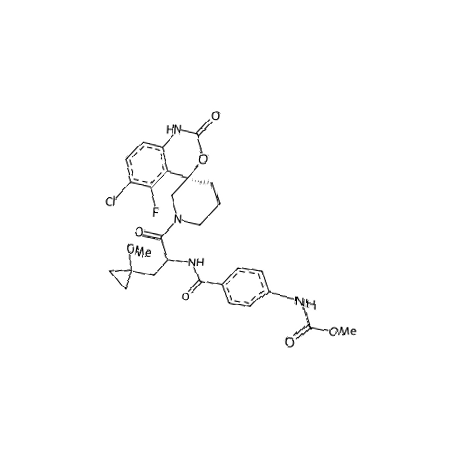 COC(=O)Nc1ccc(C(=O)NC(CC2(OC)CC2)C(=O)N2CCC[C@@]3(C2)OC(=O)Nc2ccc(Cl)c(F)c23)cc1